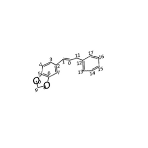 C(=Cc1ccc2c(c1)OCO2)Cc1ccccc1